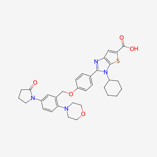 O=C(O)c1cc2nc(-c3ccc(OCc4cc(N5CCCC5=O)ccc4N4CCOCC4)cc3)n(C3CCCCC3)c2s1